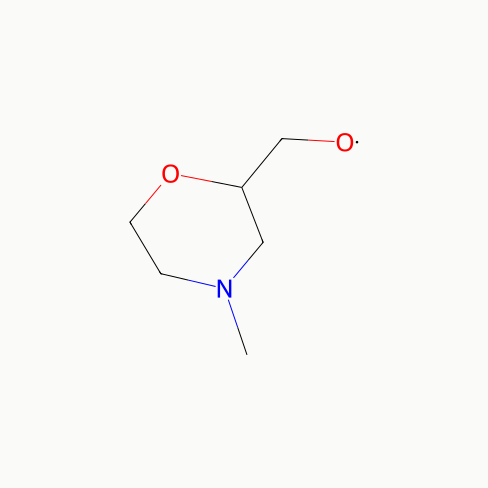 CN1CCOC(C[O])C1